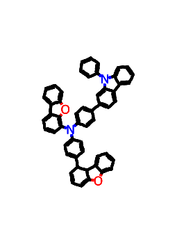 C1=CC(c2ccc(N(c3ccc(-c4ccc5c6ccccc6n(-c6ccccc6)c5c4)cc3)c3cccc4c3oc3ccccc34)cc2)C2C(=C1)Oc1ccccc12